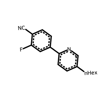 CCCCCCc1ccc(-c2ccc(C#N)c(F)c2)nc1